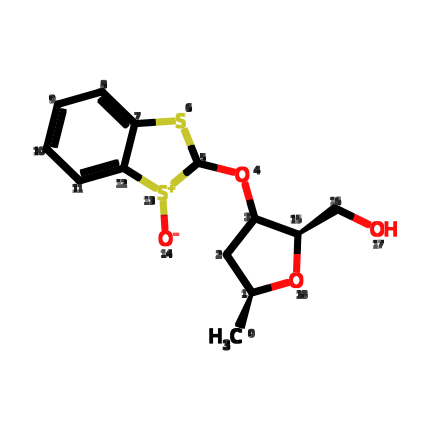 C[C@H]1CC(OC2Sc3ccccc3[S+]2[O-])[C@@H](CO)O1